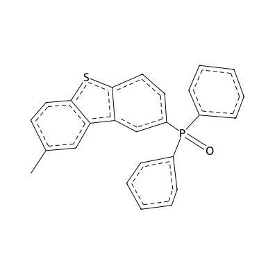 Cc1ccc2sc3ccc(P(=O)(c4ccccc4)c4ccccc4)cc3c2c1